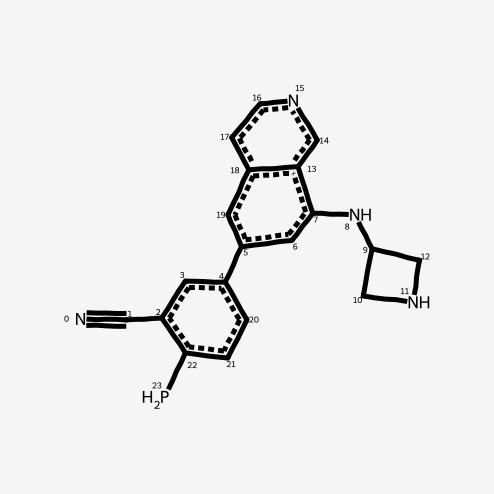 N#Cc1cc(-c2cc(NC3CNC3)c3cnccc3c2)ccc1P